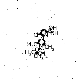 C[C@@H]1CN(c2nc(B(O)O)ccc2Cl)C[C@H](C)N1C(=O)OC(C)(C)C